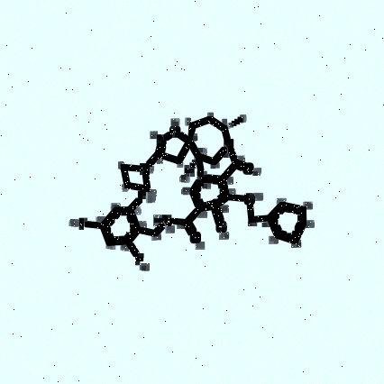 C[C@H]1CC[C@]2(CC(N3CCC3)=NO2)[C@H]2CN1C(=O)c1c(OCc3ccccc3)c(=O)c(C(=O)NCc3c(F)cc(F)cc3F)cn12